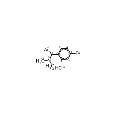 CC(=O)C(c1ccc(F)cc1)N(C)C.Cl